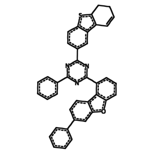 C1=Cc2c(sc3ccc(-c4nc(-c5ccccc5)nc(-c5cccc6oc7cc(-c8ccccc8)ccc7c56)n4)cc23)CC1